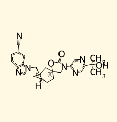 CC(C)(O)c1cnc(N2C[C@]3(CC[C@@H]4C[C@]4(Cn4cnc5ccc(C#N)cc54)C3)OC2=O)cn1